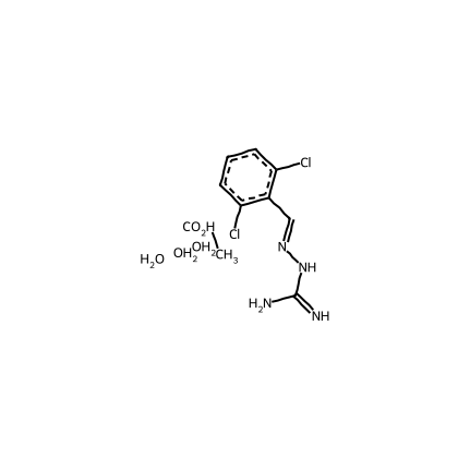 CC(=O)O.N=C(N)NN=Cc1c(Cl)cccc1Cl.O.O.O